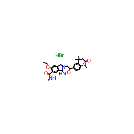 Br.CCOc1cc2c(cc1C(=O)NC)C(=N)N(CC(=O)c1ccc3c(c1)C(C)(C)CC(=O)N3C)C2